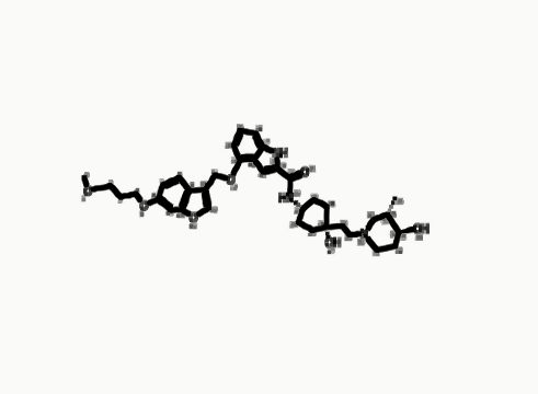 COCCCOc1ccc2c(COc3cccc4[nH]c(C(=O)N[C@H]5CC[C@](O)(CCN6CC[C@H](O)[C@@H](C)C6)CC5)cc34)coc2c1